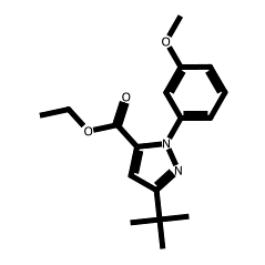 CCOC(=O)c1cc(C(C)(C)C)nn1-c1cccc(OC)c1